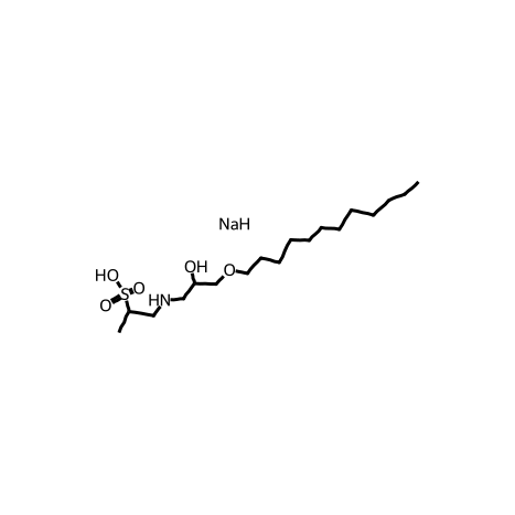 CCCCCCCCCCCCOCC(O)CNCC(C)S(=O)(=O)O.[NaH]